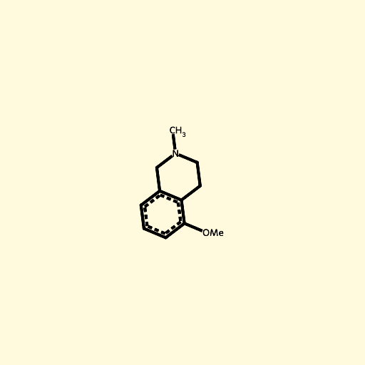 COc1cccc2c1CCN(C)C2